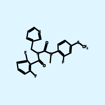 CN(C(=O)N(Cc1cccnc1)C(=O)c1c(F)cccc1F)c1ccc(SC(F)(F)F)cc1F